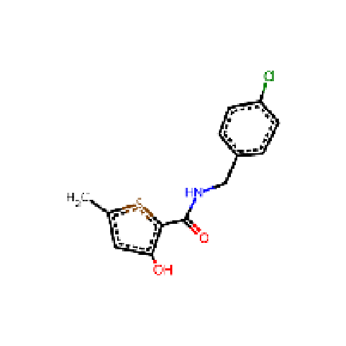 Cc1cc(O)c(C(=O)NCc2ccc(Cl)cc2)s1